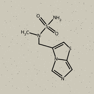 CN(Cc1csc2cncn12)S(N)(=O)=O